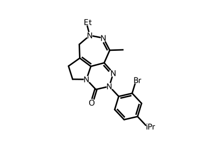 CCN1CC2=C3C(=NN(c4ccc(C(C)C)cc4Br)C(=O)N3CC2)C(C)=N1